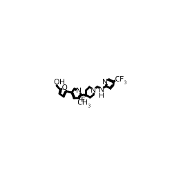 Cc1cc(-c2ccc(CO)o2)cnc1C1(F)CCN(CNc2ccc(C(F)(F)F)cn2)CC1